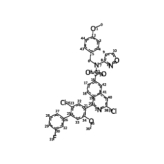 COc1ccc(CN(c2ccon2)S(=O)(=O)c2ccc3c(-c4cc(Cl)c(-c5cccc(F)c5)cc4OC)nc(Cl)cc3c2)cc1